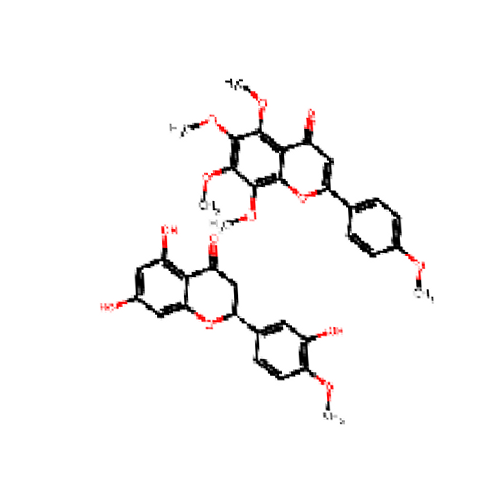 COc1ccc(-c2cc(=O)c3c(OC)c(OC)c(OC)c(OC)c3o2)cc1.COc1ccc([C@@H]2CC(=O)c3c(O)cc(O)cc3O2)cc1O